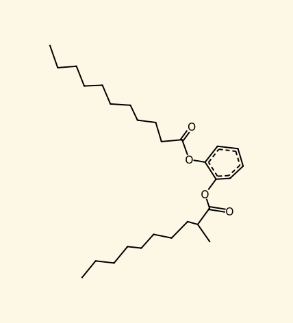 CCCCCCCCCCC(=O)Oc1ccccc1OC(=O)C(C)CCCCCCCC